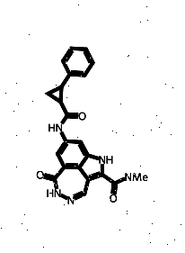 CNC(=O)c1[nH]c2cc(NC(=O)C3CC3c3ccccc3)cc3c2c1C=NNC3=O